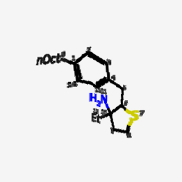 CCCCCCCCc1ccc(CC2SCCC2(N)CC)cc1